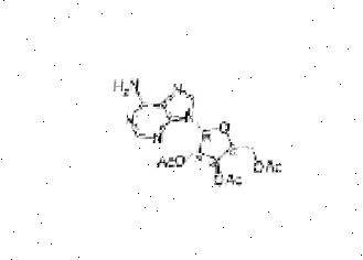 CC(=O)OC[C@H]1O[C@@H](n2cnc3c(N)ncnc32)[C@@H](OC(C)=O)[C@@H]1OC(C)=O